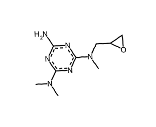 CN(C)c1nc(N)nc(N(C)CC2CO2)n1